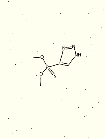 COP(=S)(OC)c1c[nH]nn1